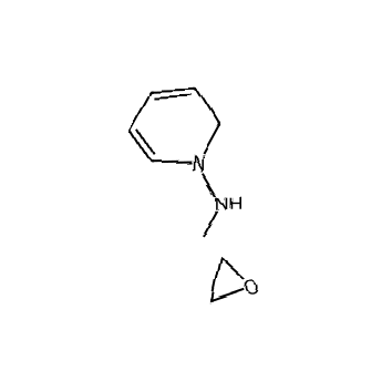 C1CO1.CNN1C=CC=CC1